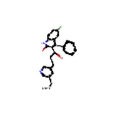 COCc1cncc(CCC(=O)c2c(-c3ccccc3)c3cc(Cl)ccc3[nH]c2=O)c1